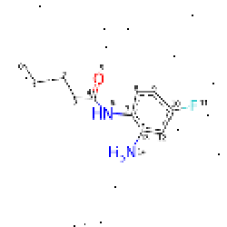 CCCCC(=O)Nc1ccc(F)cc1N